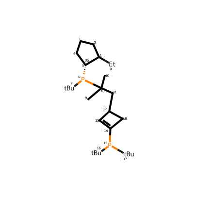 CCC1CCC[C@H]1P(C(C)(C)C)C(C)(C)CC1C=C(P(C(C)(C)C)C(C)(C)C)C1